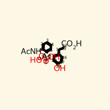 CC(=O)Nc1ccccc1[As](=O)(O)OO.O=C(O)CCc1ccc(O)cc1